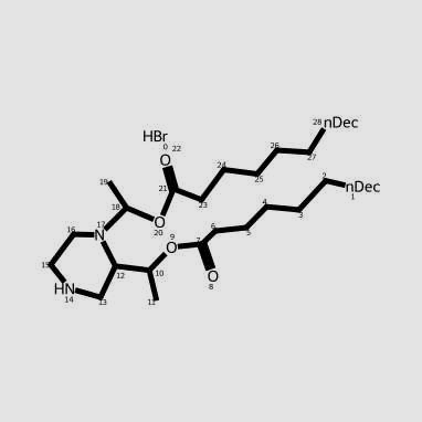 Br.CCCCCCCCCCCCCCCC(=O)OC(C)C1CNCCN1C(C)OC(=O)CCCCCCCCCCCCCCC